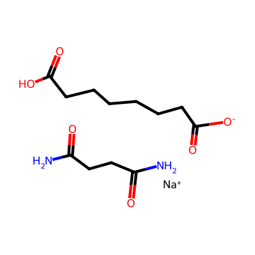 NC(=O)CCC(N)=O.O=C([O-])CCCCCCC(=O)O.[Na+]